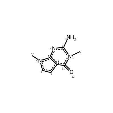 Cn1c(N)nc2c(ccn2C)c1=O